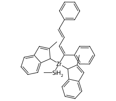 C[SiH2][Zr]([C](=CC=Cc1ccccc1)c1ccccc1)([CH]1C(C)=Cc2ccccc21)[CH]1C(C)=Cc2ccccc21